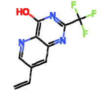 C=Cc1cnc2c(O)nc(C(F)(F)F)nc2c1